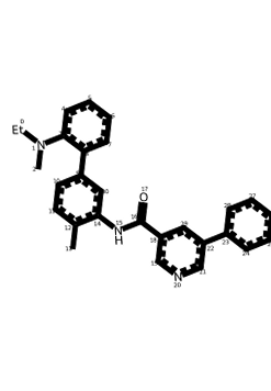 CCN(C)c1ccccc1-c1ccc(C)c(NC(=O)c2cncc(-c3ccccc3)c2)c1